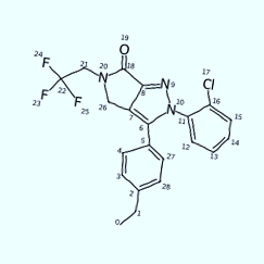 CCc1ccc(-c2c3c(nn2-c2ccccc2Cl)C(=O)N(CC(F)(F)F)C3)cc1